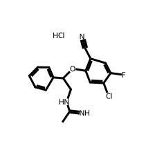 CC(=N)NCC(Oc1cc(Cl)c(F)cc1C#N)c1ccccc1.Cl